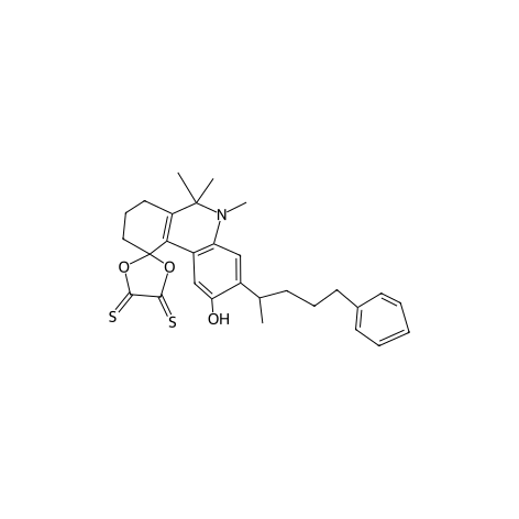 CC(CCCc1ccccc1)c1cc2c(cc1O)C1=C(CCCC13OC(=S)C(=S)O3)C(C)(C)N2C